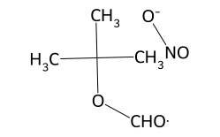 CC(C)(C)O[C]=O.O=[NH+][O-]